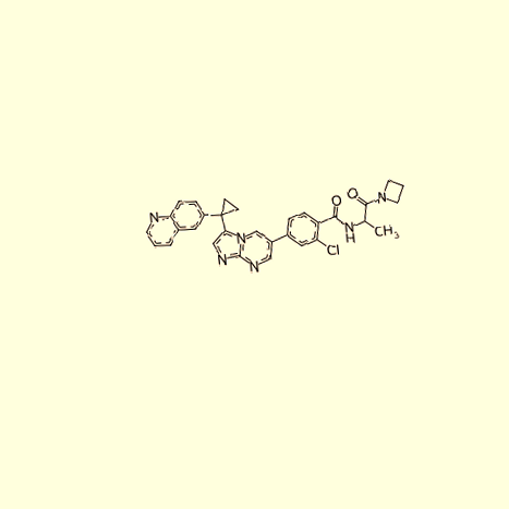 CC(NC(=O)c1ccc(-c2cnc3ncc(C4(c5ccc6ncccc6c5)CC4)n3c2)cc1Cl)C(=O)N1CCC1